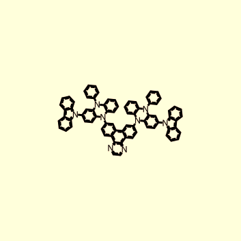 c1ccc(N2c3ccccc3N(c3ccc4c(c3)c3cc(N5c6ccccc6N(c6ccccc6)c6cc(-n7c8ccccc8c8ccccc87)ccc65)ccc3c3nccnc43)c3ccc(-n4c5ccccc5c5ccccc54)cc32)cc1